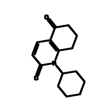 O=C1CCCc2c1ccc(=O)n2C1CCCCC1